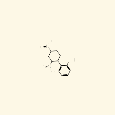 O=[N+]([O-])C1CCC(c2ccccc2O)C([N+](=O)[O-])C1